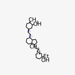 C=C1CC/C(=C/C=C2\CCCC3(C)C(CCN4CCCC(O)(CC)C4)CCC23)CC1O